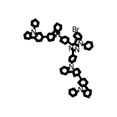 Brc1ccc2c(c1)c1c(-c3ccc(-n4c5ccccc5c5cc(-c6ccc7c8ccccc8n(-c8ccccc8)c7c6)ccc54)cc3)nc(-c3ccc(-n4c5ccccc5c5cc(-c6ccc7c8ccccc8n(-c8ccccc8)c7c6)ccc54)cc3)nc1n2-c1ccccc1